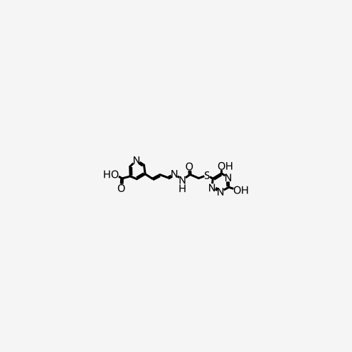 O=C(CSc1nnc(O)nc1O)N/N=C/C=C/c1cncc(C(=O)O)c1